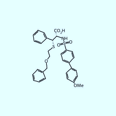 COc1ccc(-c2ccc(S(=O)(=O)N[C@@H](C(=O)O)[C@H](SCCOCc3ccccc3)c3ccccc3)cc2)cc1